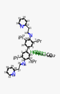 CC(C)c1cc(-c2cc(C(C)C)c(N=CCc3ccccn3)c(C(C)C)c2)cc(C(C)C)c1N=CCc1ccccn1.Cl.Cl.Cl.Cl.[Cu].[Cu]